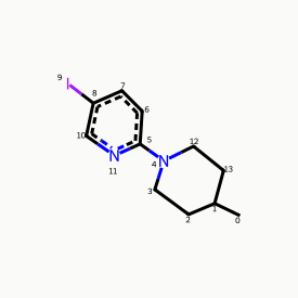 CC1CCN(c2ccc(I)cn2)CC1